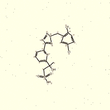 CC(O)(CS(N)(=O)=O)c1cccc(-c2nnn(Cc3cc(Cl)ccc3C(F)(F)F)n2)n1